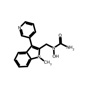 Cn1c(CN(O)C(N)=O)c(-c2cccnc2)c2ccccc21